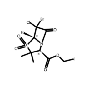 CC1(C)[C@H](C(=O)OCI)N2C(=O)C(Cl)(Br)[C@H]2S1(=O)=O